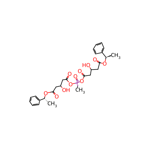 C[C@@H](OC(=O)CC(O)CC(=O)OP(C)(=O)OC(=O)CC(O)CC(=O)O[C@H](C)c1ccccc1)c1ccccc1